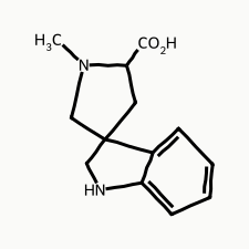 CN1CC2(CNc3ccccc32)CC1C(=O)O